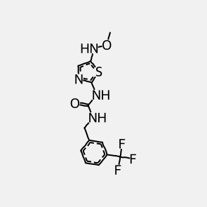 CONc1cnc(NC(=O)NCc2cccc(C(F)(F)F)c2)s1